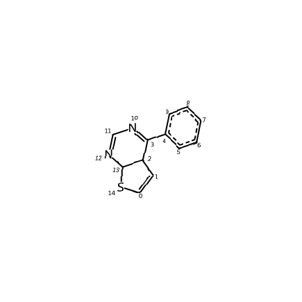 C1=CC2C(c3ccccc3)=NC=NC2S1